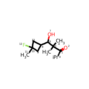 CC(C)C(=O)C(C)(C)C(O)C1CC(C)(F)C1